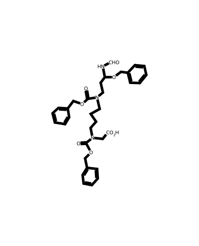 O=CNC(CCN(CCCCN(CC(=O)O)C(=O)OCc1ccccc1)C(=O)OCc1ccccc1)OCc1ccccc1